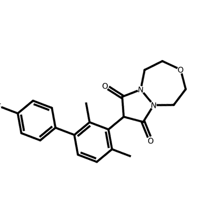 Cc1ccc(-c2ccc(F)cc2)c(C)c1C1C(=O)N2CCOCCN2C1=O